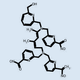 C=C(N=O)c1cccc(CN(C/C=C(C)\C=C(/N)N(CC2=C=CC=CC(CO)=N2)Cc2cccc(C(=O)N=O)n2)Cc2cccc(C(=O)N=O)n2)n1